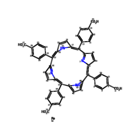 O=C(O)c1ccc(-c2c3nc(c(-c4ccc(C(=O)O)cc4)c4ccc([nH]4)c(-c4ccc(C(=O)O)cc4)c4nc(c(-c5ccc(C(=O)O)cc5)c5ccc2[nH]5)C=C4)C=C3)cc1.[Fe]